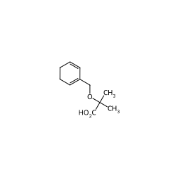 CC(C)(OCC1=CCCC=C1)C(=O)O